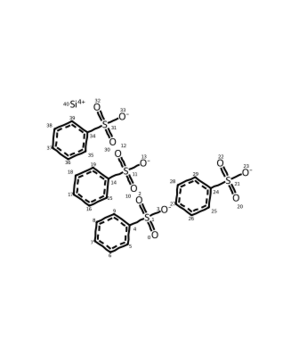 O=S(=O)([O-])c1ccccc1.O=S(=O)([O-])c1ccccc1.O=S(=O)([O-])c1ccccc1.O=S(=O)([O-])c1ccccc1.[Si+4]